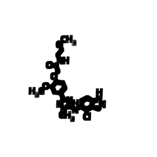 COCCNC(=O)COC1=CC=C(c2nc(Nc3ccc4[nH]ncc4c3Cl)n(C)n2)CC1OC